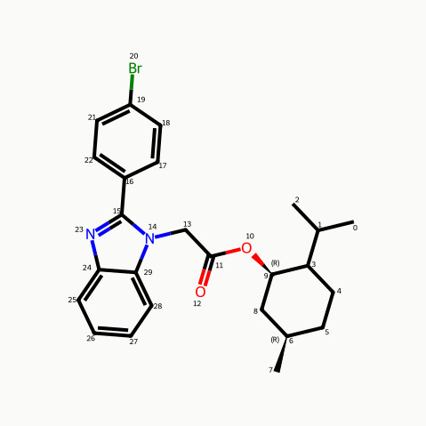 CC(C)C1CC[C@@H](C)C[C@H]1OC(=O)Cn1c(-c2ccc(Br)cc2)nc2ccccc21